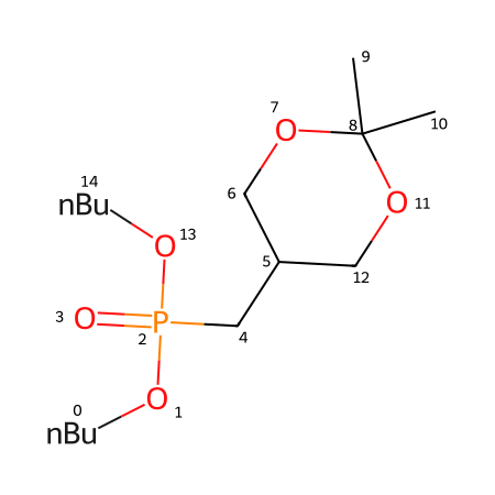 CCCCOP(=O)(CC1COC(C)(C)OC1)OCCCC